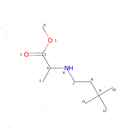 COC(=O)C(C)NCCC(C)(C)C